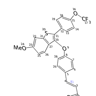 COC(=O)/C=C/c1ccc(Oc2c(-c3ccc(OC(F)(F)F)cc3)sc3cc(OC)ccc23)cc1